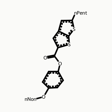 CCCCCCCCCOc1ccc(OC(=O)c2cc3cc(CCCCC)sc3s2)cc1